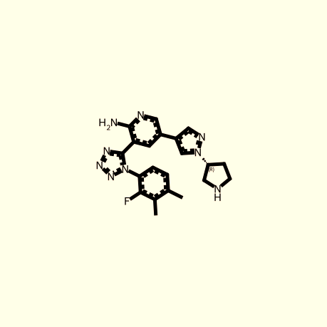 Cc1ccc(-n2nnnc2-c2cc(-c3cnn([C@@H]4CCNC4)c3)cnc2N)c(F)c1C